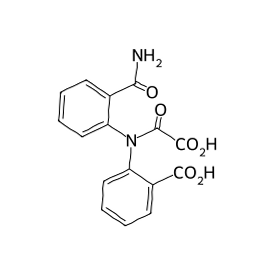 NC(=O)c1ccccc1N(C(=O)C(=O)O)c1ccccc1C(=O)O